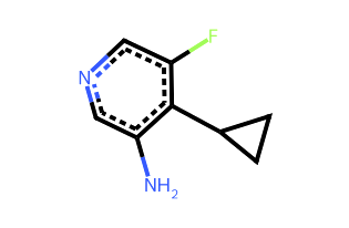 Nc1cncc(F)c1C1CC1